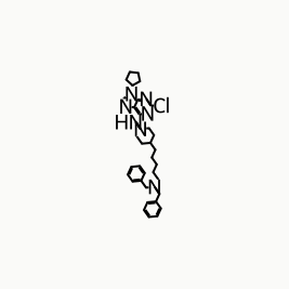 Clc1nc(NN2CCC(CCCCCN(Cc3ccccc3)Cc3ccccc3)CC2)c2ncn(C3CCCC3)c2n1